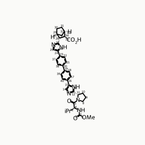 COC(=O)N[C@H](C(=O)N1CCC[C@H]1c1ncc(-c2ccc(-c3ccc(-c4cnc([C@@H]5[C@H]6CC[C@H](C6)[C@H]5C(=O)O)[nH]4)cc3)cc2)[nH]1)C(C)C